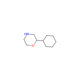 C1CCC(C2CNCCO2)CC1